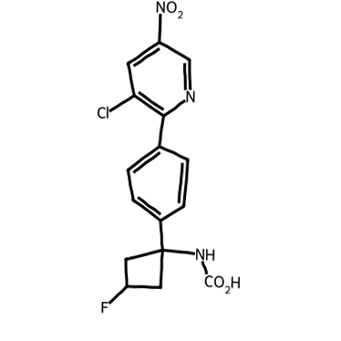 O=C(O)NC1(c2ccc(-c3ncc([N+](=O)[O-])cc3Cl)cc2)CC(F)C1